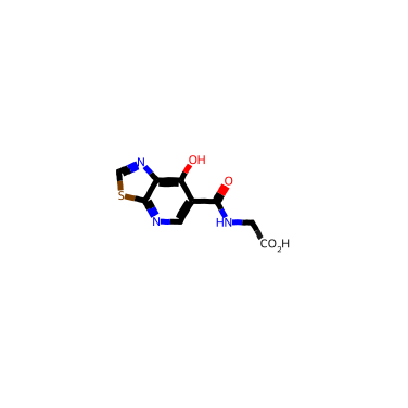 O=C(O)CNC(=O)c1cnc2scnc2c1O